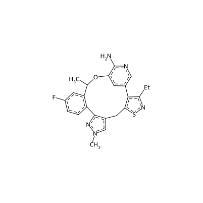 CCc1nsc2c1-c1cnc(N)c(c1)OC(C)c1cc(F)ccc1-c1nn(C)cc1C2